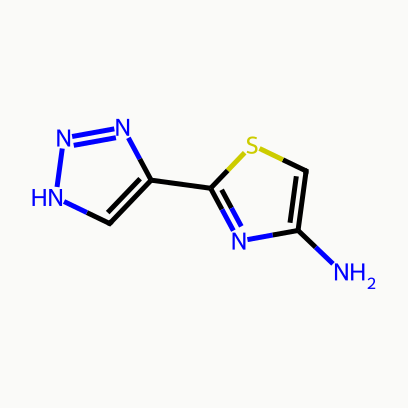 Nc1csc(-c2c[nH]nn2)n1